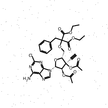 C#C[C@@]1(OC(C)=O)[C@@H](COC(Cc2ccccc2)(C(=O)OCC)C(=O)OCC)O[C@@H](n2cnc3c(N)nc(Cl)nc32)[C@@H]1OC(C)=O